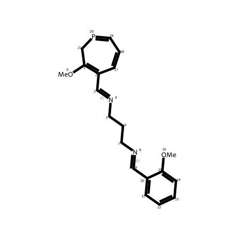 COC1=C(/C=N/CCC/N=C/c2ccccc2OC)C=CC=PC1